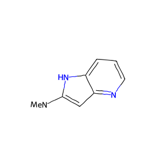 CNc1cc2ncccc2[nH]1